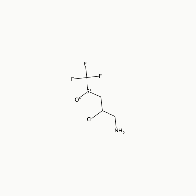 NCC(Cl)C[S+]([O-])C(F)(F)F